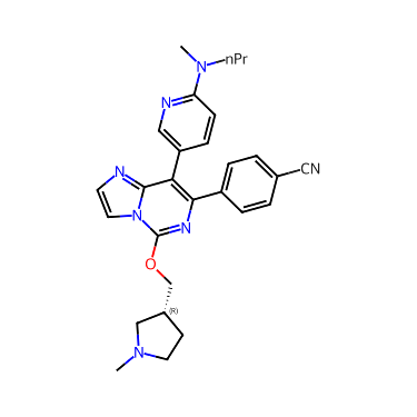 CCCN(C)c1ccc(-c2c(-c3ccc(C#N)cc3)nc(OC[C@@H]3CCN(C)C3)n3ccnc23)cn1